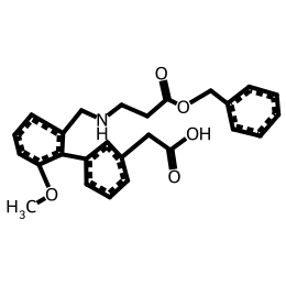 COc1cccc(CNCCC(=O)OCc2ccccc2)c1-c1cccc(CC(=O)O)c1